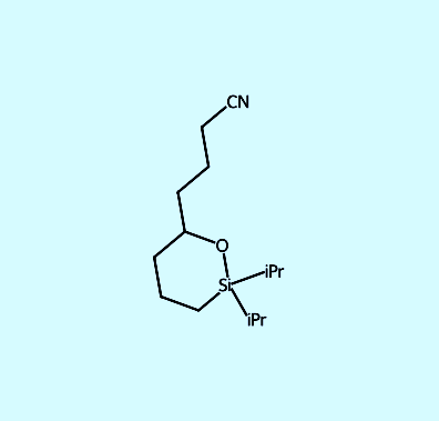 CC(C)[Si]1(C(C)C)CCCC(CCCC#N)O1